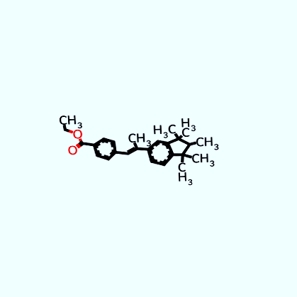 CCOC(=O)c1ccc(/C=C(\C)c2ccc3c(c2)C(C)(C)C(C)C3(C)C)cc1